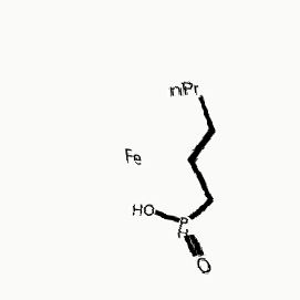 CCCCCC[PH](=O)O.[Fe]